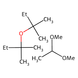 CCC(C)(C)OC(C)(C)CC.COC(C)OC